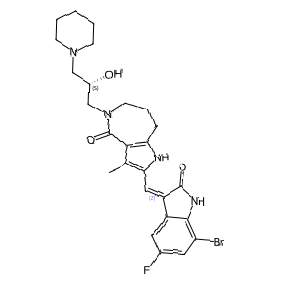 Cc1c(/C=C2\C(=O)Nc3c(Br)cc(F)cc32)[nH]c2c1C(=O)N(C[C@@H](O)CN1CCCCC1)CCC2